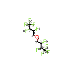 FC(COCC(F)C(F)C(F)(F)F)C(F)C(F)(F)F